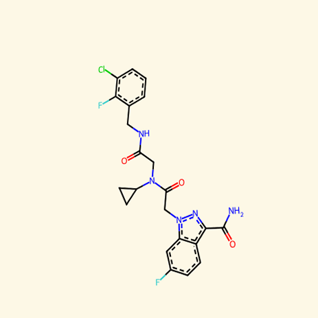 NC(=O)c1nn(CC(=O)N(CC(=O)NCc2cccc(Cl)c2F)C2CC2)c2cc(F)ccc12